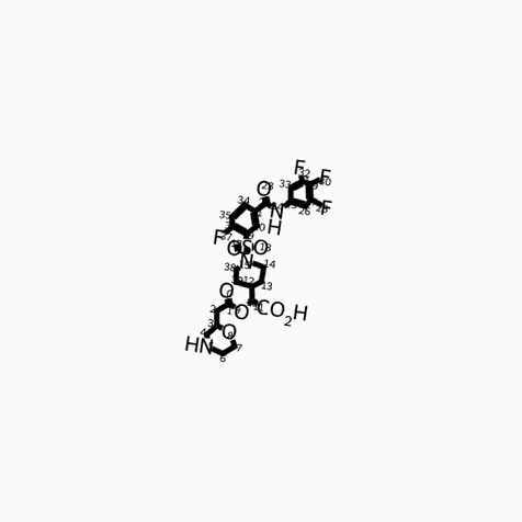 O=C(CC1CNCCO1)OC(C(=O)O)C1CCN(S(=O)(=O)c2cc(C(=O)Nc3cc(F)c(F)c(F)c3)ccc2F)CC1